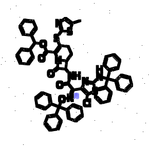 Cc1cnc(SC2=C(C(=O)OC(c3ccccc3)c3ccccc3)N3C(=O)C(NC(=O)/C(=N\OC(c4ccccc4)(c4ccccc4)c4ccccc4)c4nc(NC(c5ccccc5)(c5ccccc5)c5ccccc5)sc4Cl)C3CC2)s1